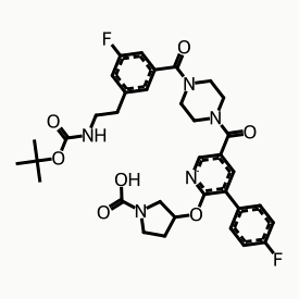 CC(C)(C)OC(=O)NCCc1cc(F)cc(C(=O)N2CCN(C(=O)c3cnc(OC4CCN(C(=O)O)C4)c(-c4ccc(F)cc4)c3)CC2)c1